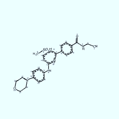 CS(=O)(=O)O.N#CCNC(=O)c1ccc(-c2ccnc(Nc3ccc(N4CCOCC4)cc3)n2)cc1